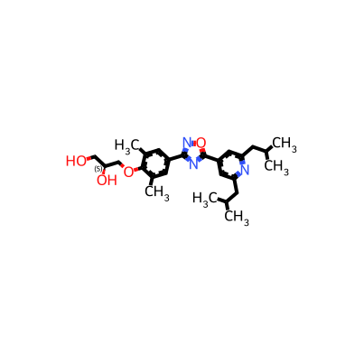 Cc1cc(-c2noc(-c3cc(CC(C)C)nc(CC(C)C)c3)n2)cc(C)c1OC[C@@H](O)CO